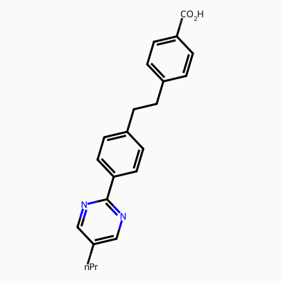 CCCc1cnc(-c2ccc(CCc3ccc(C(=O)O)cc3)cc2)nc1